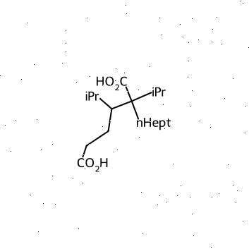 CCCCCCCC(C(=O)O)(C(C)C)C(CCC(=O)O)C(C)C